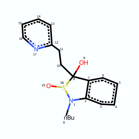 CCCCN1c2ccccc2C(O)(CCc2ccccn2)[S+]1[O-]